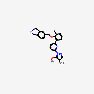 Cc1cccc(-c2cccc(-n3ncc(C(=O)O)c3OC(C)C)n2)c1OCc1ccc2c(c1)CCNC2